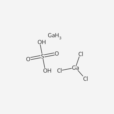 O=S(=O)(O)O.[Cl][Ga]([Cl])[Cl].[GaH3]